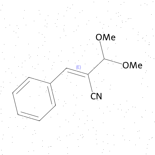 COC(OC)/C(C#N)=C/c1ccccc1